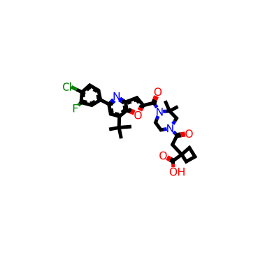 CC(C)(C)c1cc(-c2ccc(Cl)c(F)c2)nc2cc(C(=O)N3CCN(C(=O)CC4(C(=O)O)CCC4)CC3(C)C)oc12